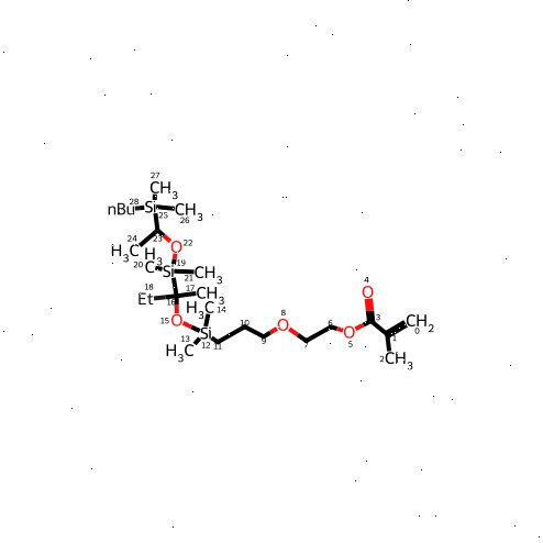 C=C(C)C(=O)OCCOCCC[Si](C)(C)OC(C)(CC)[Si](C)(C)OC(C)[Si](C)(C)CCCC